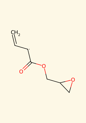 C=C[CH]C(=O)OCC1CO1